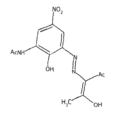 CC(=O)Nc1cc([N+](=O)[O-])cc(/N=N/C(C(C)=O)=C(\C)O)c1O